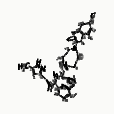 Cc1cc(Nc2nc(N3CCN(C(=O)Cc4ccc(Cl)cc4F)CC3)nn3cccc23)n[nH]1